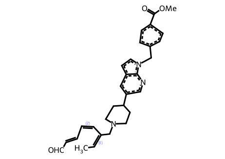 C/C=C(\C=C/C=CC=O)CN1CCC(c2cnc3c(ccn3Cc3ccc(C(=O)OC)cc3)c2)CC1